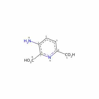 Nc1ccc(C(=O)O)nc1C(=O)O